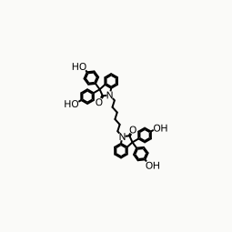 O=C1N(CCCCCCN2C(=O)C(c3ccc(O)cc3)(c3ccc(O)cc3)c3ccccc32)c2ccccc2C1(c1ccc(O)cc1)c1ccc(O)cc1